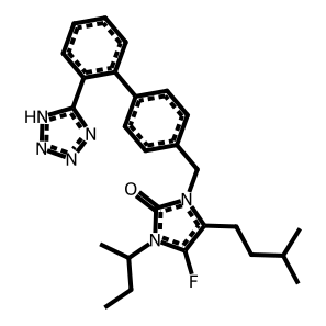 CCC(C)n1c(F)c(CCC(C)C)n(Cc2ccc(-c3ccccc3-c3nnn[nH]3)cc2)c1=O